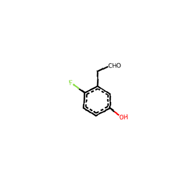 O=CCc1cc(O)ccc1F